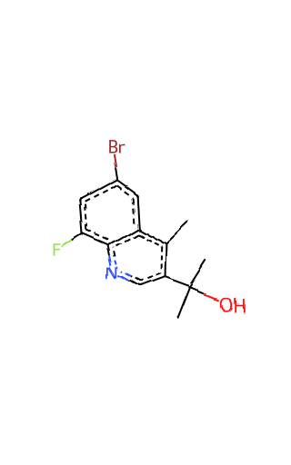 Cc1c(C(C)(C)O)cnc2c(F)cc(Br)cc12